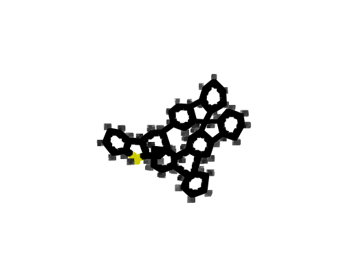 c1ccc2c(c1)-c1ccc(-c3ccc4sc5ccccc5c4c3)cc1C21c2ccccc2-c2cc3c4ccccc4c4ccccc4c3cc21